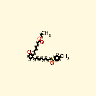 CCCOC(=O)CCCCCC[C@H]1C(=O)CC[C@@H]1C/C=C/CCCCC[S+]([O-])c1ccc(C)cc1